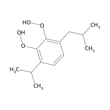 CC(C)Cc1ccc(C(C)C)c(OO)c1OO